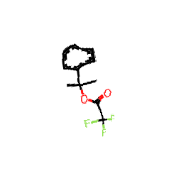 CC(C)(OC(=O)C(F)(F)F)c1ccccc1